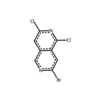 Clc1cc2cnc(Br)cc2c(Cl)n1